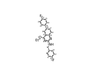 CCOc1nc(NCc2ccc(F)cc2)nc2ccc(-c3ccc(F)cc3)cc12